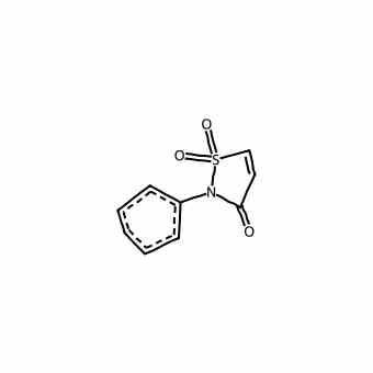 O=C1C=CS(=O)(=O)N1c1ccccc1